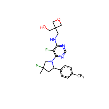 CC1(F)CC(c2ccc(C(F)(F)F)cc2)N(c2ncnc(NCC3(CO)COC3)c2F)C1